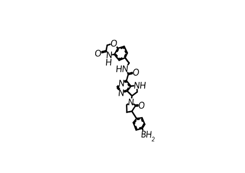 Bc1ccc(C2CCN(C3CNc4c(C(=O)NCc5ccc6c(c5)NC(=O)CO6)ncnc43)C2=O)cc1